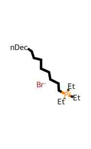 CCCCCCCCCCCCCCCCCC[P+](CC)(CC)CC.[Br-]